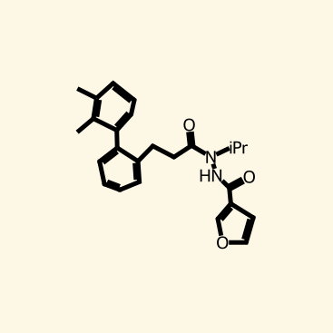 Cc1cccc(-c2ccccc2CCC(=O)N(NC(=O)c2ccoc2)C(C)C)c1C